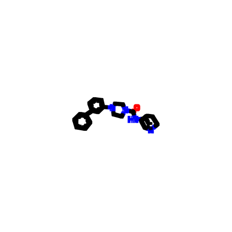 O=C(NC1CN2CCC1CC2)N1CCN(c2cccc(-c3ccccc3)c2)CC1